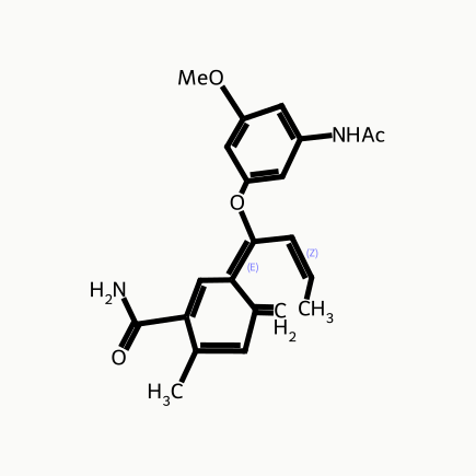 C=c1cc(C)c(C(N)=O)c/c1=C(/C=C\C)Oc1cc(NC(C)=O)cc(OC)c1